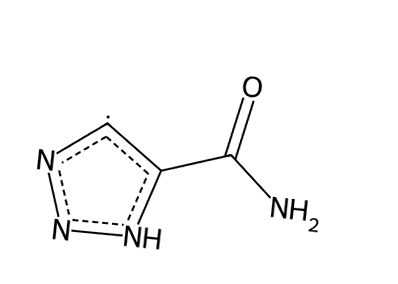 NC(=O)c1[c]nn[nH]1